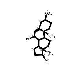 CC(=O)OC1CCC2(C)C(=CC(Br)C3C2CCC2(C)C(C(C)=O)CCC32)C1